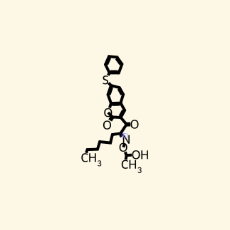 CCCCCC/C(=N\OC(C)O)C(=O)c1cc2ccc(Sc3ccccc3)cc2oc1=O